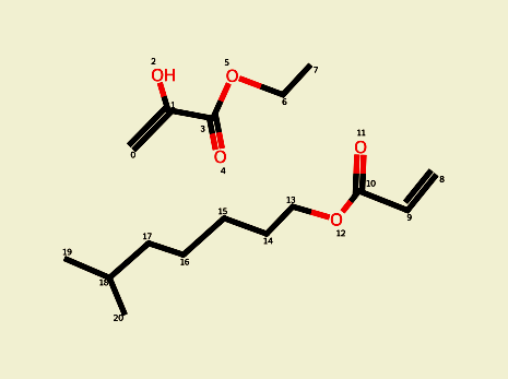 C=C(O)C(=O)OCC.C=CC(=O)OCCCCCC(C)C